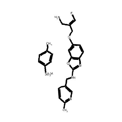 Cc1ccc(CNc2nc3ccc(OCC(=CF)CN)cc3o2)cn1.Cc1ccc(S(=O)(=O)O)cc1